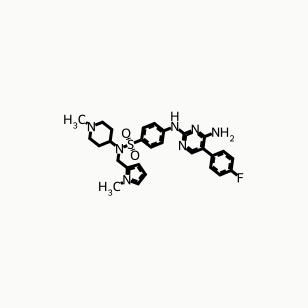 CN1CCC(N(Cc2cccn2C)S(=O)(=O)c2ccc(Nc3ncc(-c4ccc(F)cc4)c(N)n3)cc2)CC1